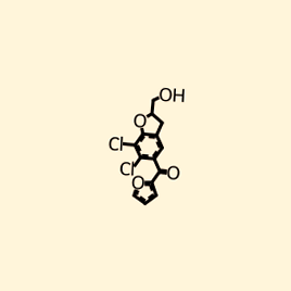 O=C(c1ccco1)c1cc2c(c(Cl)c1Cl)OC(CO)C2